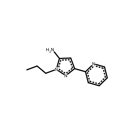 CCCn1nc(-c2ccccn2)cc1N